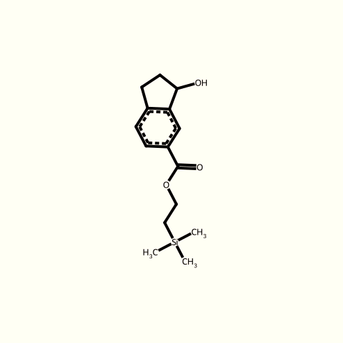 C[Si](C)(C)CCOC(=O)c1ccc2c(c1)C(O)CC2